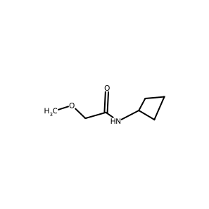 COCC(=O)NC1CCC1